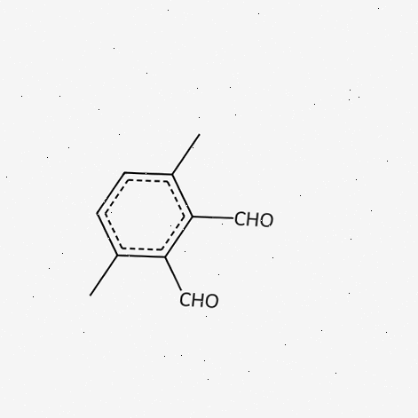 Cc1ccc(C)c(C=O)c1C=O